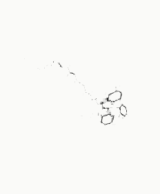 CCCCCC=CCC=CCCCCCCCC(=O)C(C(=O)OCC)=P(c1ccccc1)(c1ccccc1)c1ccccc1